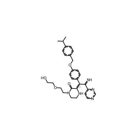 CC(C)c1ccc(COc2ccc(/C(C(=N)c3ccncn3)=C3/NCCN(CCOCCO)C3=O)cc2)cc1